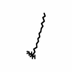 [2H]C([2H])CCCCCCCCCCCCCCCC